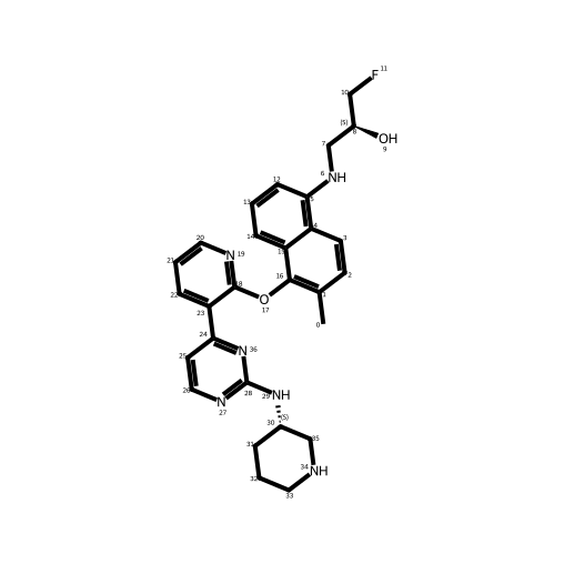 Cc1ccc2c(NC[C@H](O)CF)cccc2c1Oc1ncccc1-c1ccnc(N[C@H]2CCCNC2)n1